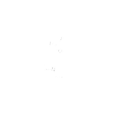 CCN(CC)CCOC(I)I